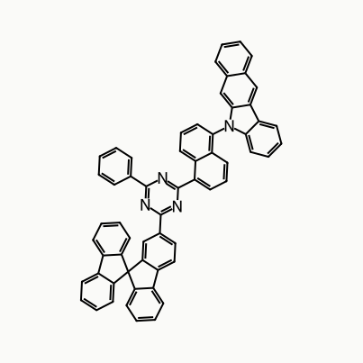 c1ccc(-c2nc(-c3ccc4c(c3)C3(c5ccccc5-c5ccccc53)c3ccccc3-4)nc(-c3cccc4c(-n5c6ccccc6c6cc7ccccc7cc65)cccc34)n2)cc1